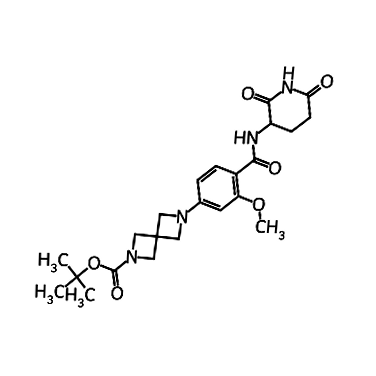 COc1cc(N2CC3(CN(C(=O)OC(C)(C)C)C3)C2)ccc1C(=O)NC1CCC(=O)NC1=O